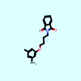 Bc1cc(C)cc(OCCCCN2C(=O)c3ccccc3C2=O)c1